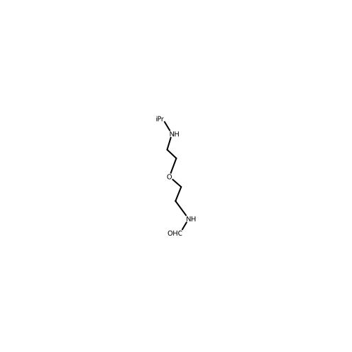 CC(C)NCCOCCNC=O